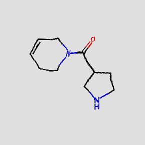 O=C(C1CCNC1)N1CC=CCC1